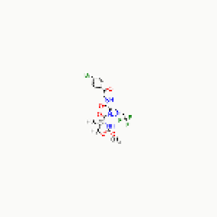 COC(=O)N[C@H](C(=O)N1CN(CC(F)(F)F)C[C@H]1C(=O)NCC(=O)c1ccc(Br)cc1)C(C)C